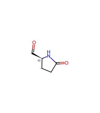 O=C[C@@H]1[CH]CC(=O)N1